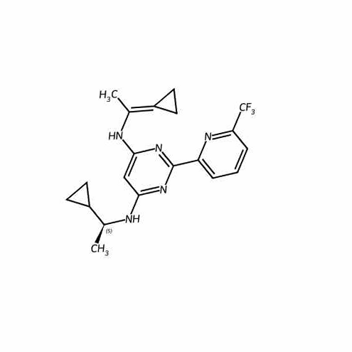 CC(Nc1cc(N[C@@H](C)C2CC2)nc(-c2cccc(C(F)(F)F)n2)n1)=C1CC1